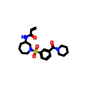 C=CC(=O)NC1CCCCN(S(=O)(=O)c2cccc(C(=O)N3CCCCC3)c2)C1